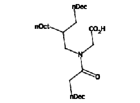 CCCCCCCCCCCC(=O)N(CC(=O)O)CC(CCCCCCCC)CCCCCCCCCCC